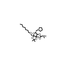 CCCCCCCOC[C@@]12O[C@@H](CN3CCCC3)[C@@H](OC(=O)NC)[C@@H]1OC(C)(C)O2